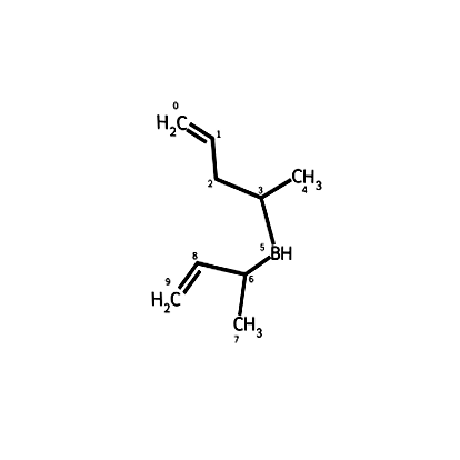 C=CCC(C)BC(C)C=C